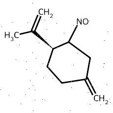 C=C1CC[C@@H](C(=C)C)C(N=O)C1